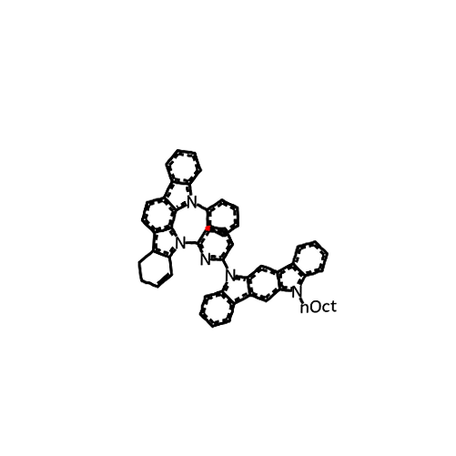 CCCCCCCCn1c2ccccc2c2cc3c(cc21)c1ccccc1n3-c1cccc(-n2c3c(c4ccc5c6ccccc6n(-c6ccccc6)c5c42)CCC=C3)n1